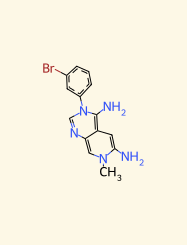 CN1C=C2N=CN(c3cccc(Br)c3)C(N)=C2C=C1N